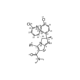 CC(C)C1=C(C(=O)N(C)C)SC2=N[C@@](C)(c3ccc(Cl)cc3)[C@@H](c3ccc(Cl)nc3)N21